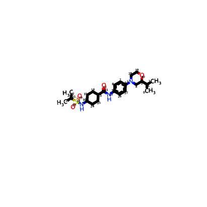 CC(C)C1CN(c2ccc(NC(=O)C3CCC(NS(=O)(=O)C(C)C)CC3)cc2)CCO1